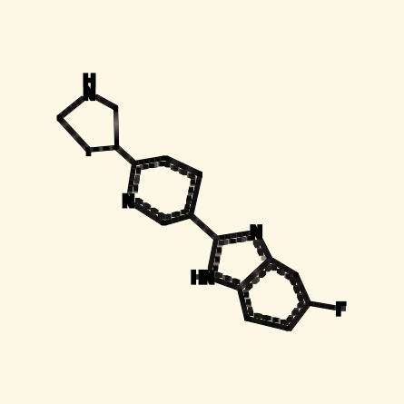 Fc1ccc2[nH]c(-c3ccc(C4[CH]CNC4)nc3)nc2c1